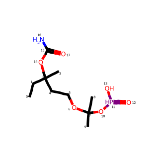 CCC(C)(CCOC(C)(C)O[PH](=O)O)OC(N)=O